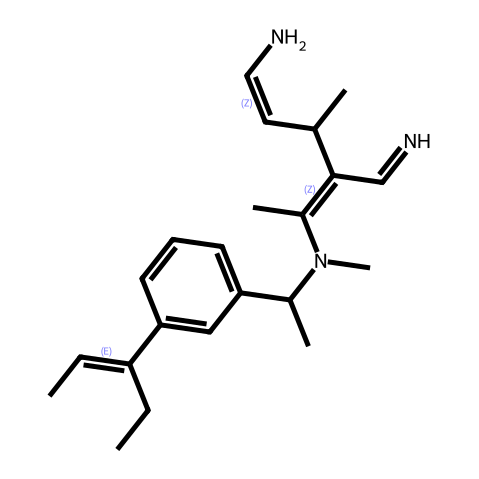 C/C=C(\CC)c1cccc(C(C)N(C)/C(C)=C(\C=N)C(C)/C=C\N)c1